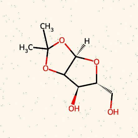 CC1(C)OC2[C@H](O[C@H](CO)[C@H]2O)O1